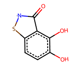 O=C1[N]Sc2ccc(O)c(O)c21